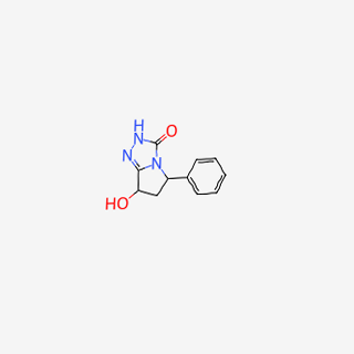 O=c1[nH]nc2n1C(c1ccccc1)CC2O